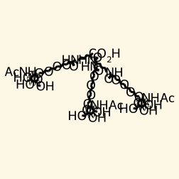 CC(=O)N[C@H]1[C@H](OCCOCCOCCOCC(=O)NCCCCC(NC(=O)C(CCCCNC(=O)COCCOCCOCCO[C@@H]2O[C@H](CO)[C@H](O)[C@H](O)[C@H]2NC(C)=O)NC(=O)COCCOCCOCCO[C@@H]2O[C@H](CO)[C@H](O)C(O)[C@H]2NC(C)=O)C(=O)O)O[C@H](CO)[C@H](O)[C@@H]1O